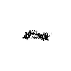 C=C1C[C@H]2C=Nc3cc(OCCCCCOc4cc5c(cc4OC)C(=O)N4CC(=C)C[C@H]4[C@H](O)N5C(=O)O)c(OC)cc3C(=O)N2C1